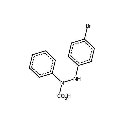 O=C(O)N(Nc1ccc(Br)cc1)c1ccccc1